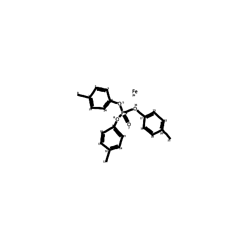 Cc1ccc(OP(=O)(Oc2ccc(C)cc2)Oc2ccc(C)cc2)cc1.[Fe]